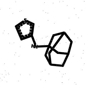 c1cc(NC23CC4CC(CC(C4)C2)C3)cs1